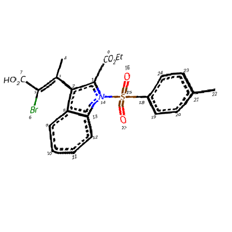 CCOC(=O)c1c(C(C)=C(Br)C(=O)O)c2ccccc2n1S(=O)(=O)c1ccc(C)cc1